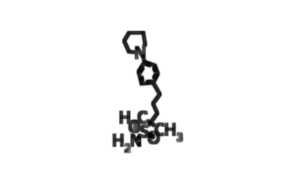 CC(C)(CCCc1ccc(N2CCCCC2)cc1)S(N)(=O)=O